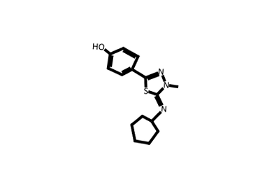 Cn1nc(-c2ccc(O)cc2)sc1=NC1CCCCC1